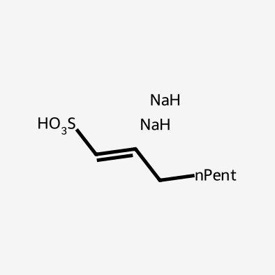 CCCCCCC=CS(=O)(=O)O.[NaH].[NaH]